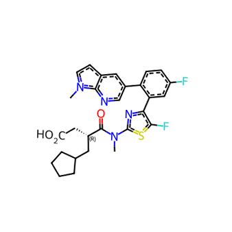 CN(C(=O)[C@@H](CC(=O)O)CC1CCCC1)c1nc(-c2cc(F)ccc2-c2cnc3c(ccn3C)c2)c(F)s1